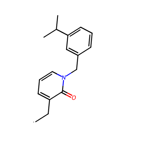 [CH2]Cc1cccn(Cc2cccc(C(C)C)c2)c1=O